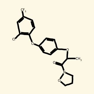 CC(Oc1ccc(Oc2ccc(C(F)(F)F)cc2Cl)cc1)C(=O)N1CCCO1